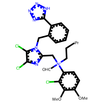 COc1ccc([N+](C=O)(CCC(C)C)Cc2nc(Cl)c(Cl)n2Cc2ccccc2-c2nnn[nH]2)c(Cl)c1OC